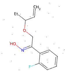 C=CC(CC)OCC(=NO)c1ccccc1F